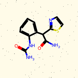 NC(=O)Nc1ccccc1C(C(N)=O)c1nccs1